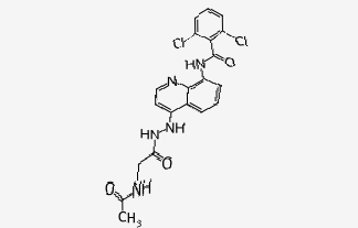 CC(=O)NCC(=O)NNc1ccnc2c(NC(=O)c3c(Cl)cccc3Cl)cccc12